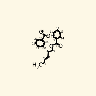 CCC=CCCOC(=O)c1ccccc1.O=C(O)c1ccccc1